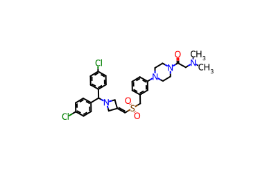 CN(C)CC(=O)N1CCN(c2cccc(CS(=O)(=O)C=C3CN(C(c4ccc(Cl)cc4)c4ccc(Cl)cc4)C3)c2)CC1